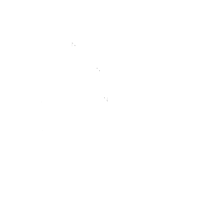 CC1(C)c2ccccc2-c2cc3c4cc5c6ccccc6c6ccccc6c5cc4n(-c4ccc5ccc6cccnc6c5n4)c3cc21